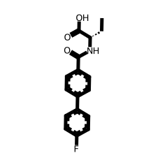 CC[C@H](NC(=O)c1ccc(-c2ccc(F)cc2)cc1)C(=O)O